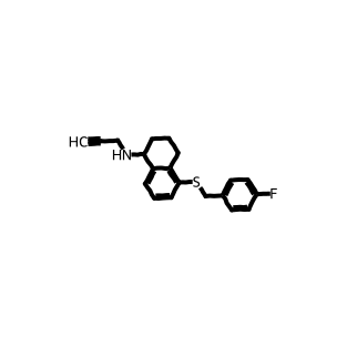 C#CCNC1CCCc2c(SCc3ccc(F)cc3)cccc21